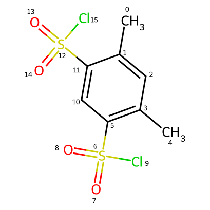 Cc1cc(C)c(S(=O)(=O)Cl)cc1S(=O)(=O)Cl